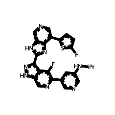 CC(C)Nc1cncc(-c2ncc3[nH]nc(-c4nc5c(-c6ccc(F)s6)cncc5[nH]4)c3c2F)c1